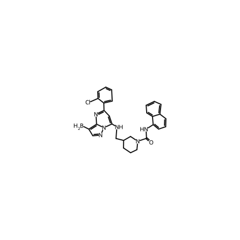 Bc1cnn2c(NCC3CCCN(C(=O)Nc4cccc5ccccc45)C3)cc(-c3ccccc3Cl)nc12